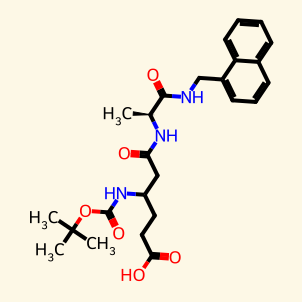 C[C@H](NC(=O)CC(CCC(=O)O)NC(=O)OC(C)(C)C)C(=O)NCc1cccc2ccccc12